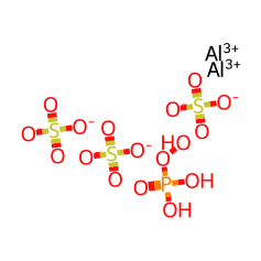 O=P(O)(O)OO.O=S(=O)([O-])[O-].O=S(=O)([O-])[O-].O=S(=O)([O-])[O-].[Al+3].[Al+3]